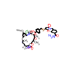 COc1cc2cc(c1Cl)N(C)C(=O)CC(OC(=O)c1ccc(CSC3CC(=O)N(CC4CCC(C(N)=O)CC4)C3=O)cc1)C1(C)OC1C(C)C1CC(O)(NC(=O)O1)C(C)/C=C/C=C(\C)C2